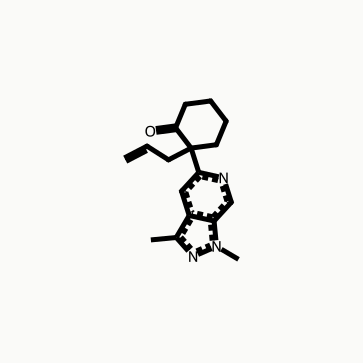 C=CCC1(c2cc3c(C)nn(C)c3cn2)CCCCC1=O